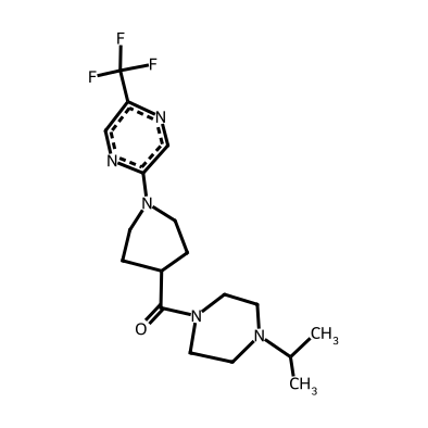 CC(C)N1CCN(C(=O)C2CCN(c3cnc(C(F)(F)F)cn3)CC2)CC1